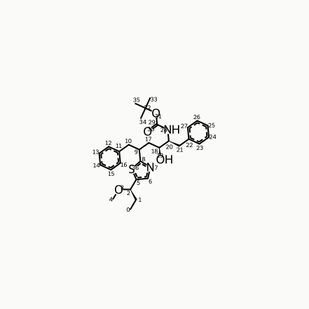 CC[C@@H](OC)c1cnc(C(Cc2ccccc2)C[C@H](O)[C@H](Cc2ccccc2)NC(=O)OC(C)(C)C)s1